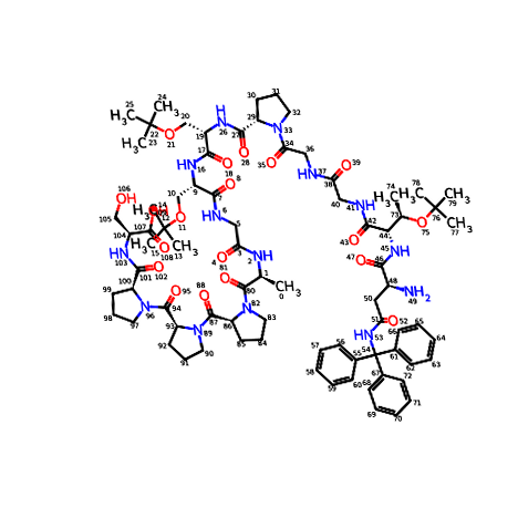 C[C@H](NC(=O)CNC(=O)[C@H](COC(C)(C)C)NC(=O)[C@H](COC(C)(C)C)NC(=O)[C@@H]1CCCN1C(=O)CNC(=O)CNC(=O)[C@@H](NC(=O)[C@@H](N)CC(=O)NC(c1ccccc1)(c1ccccc1)c1ccccc1)[C@@H](C)OC(C)(C)C)C(=O)N1CCC[C@H]1C(=O)N1CCC[C@H]1C(=O)N1CCC[C@H]1C(=O)N[C@@H](CO)C(=O)O